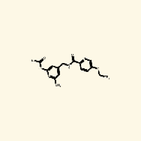 CCC(=O)Nc1cc(CNC(=O)c2ccc(OCC(F)(F)F)cn2)cc(C)n1